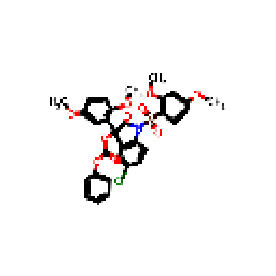 COc1ccc(S(=O)(=O)N2C(=O)C(OC(=O)Oc3ccccc3)(c3cc(OC)ccc3OC)c3cc(Cl)ccc32)c(OC)c1